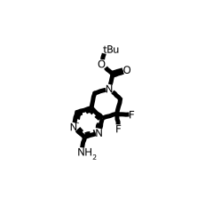 CC(C)(C)OC(=O)N1Cc2cnc(N)nc2C(F)(F)C1